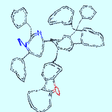 c1ccc(-c2cc(-c3cc4c(cc3-c3ccc5c(c3)oc3ccccc35)-c3ccccc3C4(c3ccccc3)c3ccccc3)nc(-c3ccccc3)n2)cc1